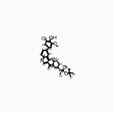 COc1cc(-c2ccc3ncc(C(C)=O)c(NC4CCC(N(C)C(=O)OC(C)(C)C)CC4)c3c2)cc(Cl)c1O